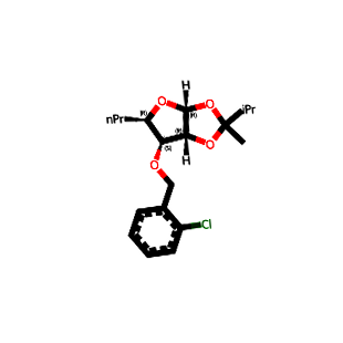 CCC[C@H]1O[C@@H]2OC(C)(C(C)C)O[C@@H]2[C@H]1OCc1ccccc1Cl